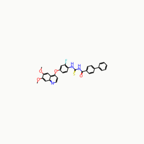 COc1cc2nccc(Oc3ccc(NC(=S)NC(=O)c4ccc(-c5ccccc5)cc4)c(F)c3)c2cc1OC